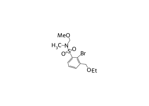 CCOCc1cccc(S(=O)(=O)N(C)COC)c1Br